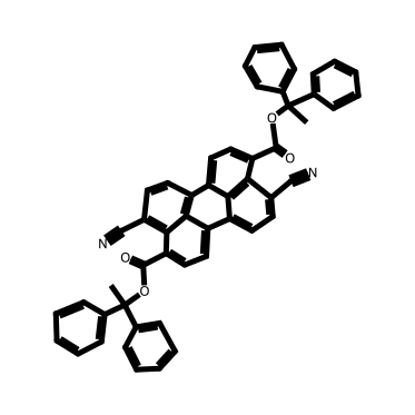 CC(OC(=O)c1ccc2c3ccc(C#N)c4c(C(=O)OC(C)(c5ccccc5)c5ccccc5)ccc(c5ccc(C#N)c1c52)c43)(c1ccccc1)c1ccccc1